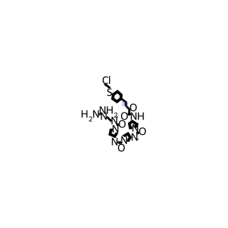 CN(CCN=C(N)N)C(=O)n1ccc(N(C)C(=O)n2ccc(N(C)C(=O)n3ccc(NC(=O)C(=O)/C=C/c4ccc(SCCCl)cc4)c3)c2)c1